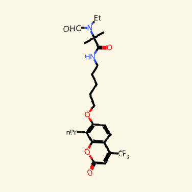 CCCc1c(OCCCCCNC(=O)C(C)(C)N(C=O)CC)ccc2c(C(F)(F)F)cc(=O)oc12